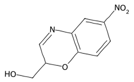 O=[N+]([O-])c1ccc2c(c1)N=CC(CO)O2